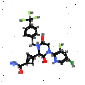 NC(=O)C12CC([C@@H]3C(=O)N(c4ncc(Cl)cc4F)CC(=O)N3Cc3ccc(C(F)(F)F)cc3)(C1)C2